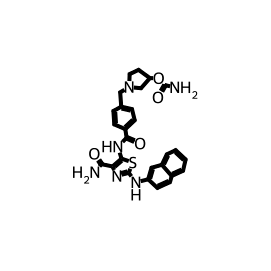 NC(=O)OC1CCN(Cc2ccc(C(=O)Nc3sc(Nc4ccc5ccccc5c4)nc3C(N)=O)cc2)C1